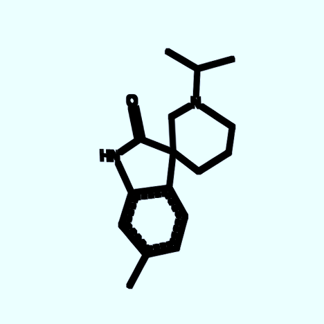 Cc1ccc2c(c1)NC(=O)C21CCCN(C(C)C)C1